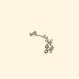 CCCCc1nc(Cl)c(C(=O)OC(C)OC(=O)OCCCC[C@@H](CO[N+](=O)[O-])O[N+](=O)[O-])n1Cc1ccc(-c2ccccc2-c2nnn[nH]2)cc1